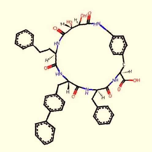 O=C(O)[C@@H]1Cc2ccc(cc2)NC(=O)[C@H](O)[C@@H](O)C(=O)N[C@H](CCc2ccccc2)C(=O)N[C@@H](Cc2ccc(-c3ccccc3)cc2)C(=O)N[C@H](Cc2ccccc2)C(=O)N1